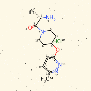 CC(C)[C@H](N)C(=O)N1CCC(Oc2ccc(C(F)(F)F)nn2)CC1.Cl